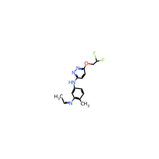 C/C=N\c1cc(Nc2ccc(OCC(F)F)nn2)ccc1C